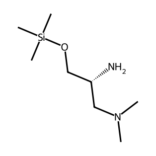 CN(C)C[C@@H](N)CO[Si](C)(C)C